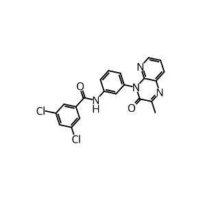 Cc1nc2cccnc2n(-c2cccc(NC(=O)c3cc(Cl)cc(Cl)c3)c2)c1=O